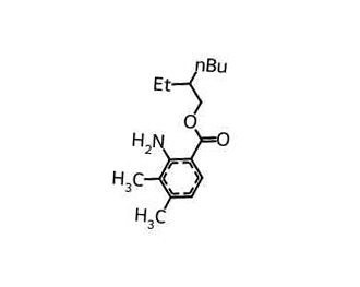 CCCCC(CC)COC(=O)c1ccc(C)c(C)c1N